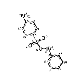 Nc1ccc(S(=O)(=O)ONc2ccccc2)cc1